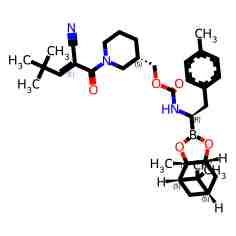 Cc1ccc(C[C@H](NC(=O)OC[C@H]2CCCN(C(=O)/C(C#N)=C/C(C)(C)C)C2)B2O[C@@H]3C[C@@H]4C[C@@H](C4(C)C)[C@]3(C)O2)cc1